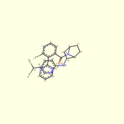 O=C(c1cccc(F)c1-c1ncccn1)N1C2CCC1C(Nc1ccc(C(F)F)cn1)C2